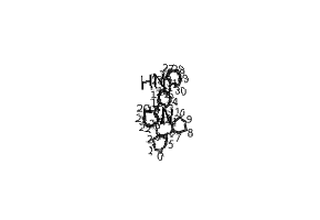 c1ccc2c(c1)-c1ccccc1-n1c3cc4c(cc3c3cccc-2c31)[nH]c1ccccc14